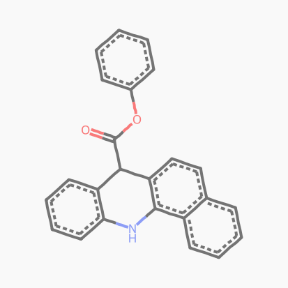 O=C(Oc1ccccc1)C1c2ccccc2Nc2c1ccc1ccccc21